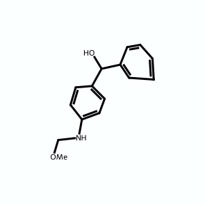 COCNc1ccc(C(O)c2ccccc2)cc1